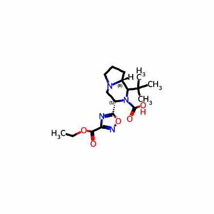 CCOC(=O)c1noc([C@@H]2CN3CCC[C@@H]3C(C(C)(C)C)N2C(=O)O)n1